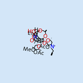 C#CCCN(C)C1C[C@@H](C)O[C@@H](O[C@@H]2[C@@H](C)C([C@H]3C[C@@](C)(OC)[C@@H](OC(C)=O)[C@H](C)O3)[C@@H](C)C(=O)OC(CC)[C@@](C)(O)[C@@H]3OCC(=C)CO[C@]2(C)C[C@@H](C)/C(=N\OC(C)=O)[C@@H]3C)[C@@H]1OC(C)=O